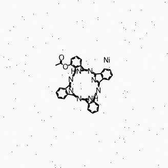 CC(=O)Oc1cccc2c3nc4nc(nc5[nH]c(nc6nc(nc([nH]3)c12)-c1ccccc1-6)c1ccccc51)-c1ccccc1-4.[Ni]